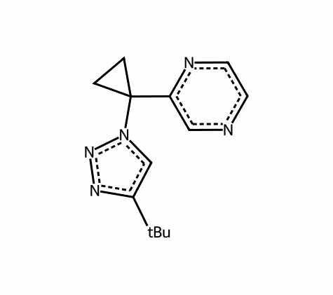 CC(C)(C)c1cn(C2(c3cnccn3)CC2)nn1